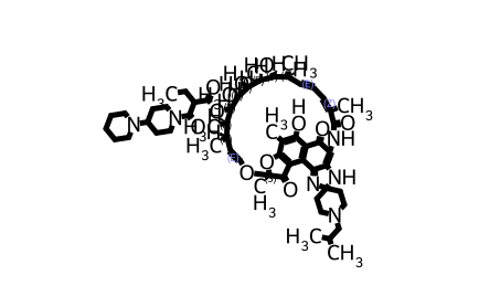 CCC(C(=O)O[C@H]1[C@H](C)[C@H](O)[C@H](C)[C@@H](O)[C@@H](C)/C=C/C=C(/C)C(=O)NC2=C3NC4(CCN(CC(C)C)CC4)N=C3c3c(c(O)c(C)c4c3C(=O)[C@@](C)(O/C=C/[C@H](C)[C@H]1C)O4)C2=O)C(=O)N1CCC(N2CCCCC2)CC1